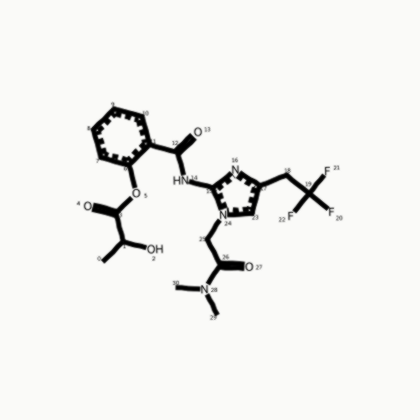 CC(O)C(=O)Oc1ccccc1C(=O)Nc1nc(CC(F)(F)F)cn1CC(=O)N(C)C